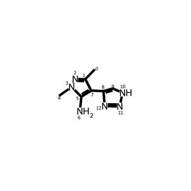 Cc1nn(C)c(N)c1-c1c[nH]nn1